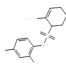 O=C(O)C1=CCCCC1S(=O)(=O)Nc1ccc(F)cc1F